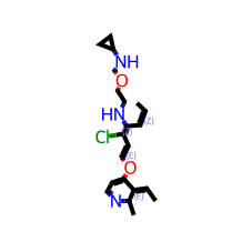 C\C=C/C(NCCOCNC1CC1)=C(Cl)\C=C\OC1=CC=NC(C)/C1=C\C